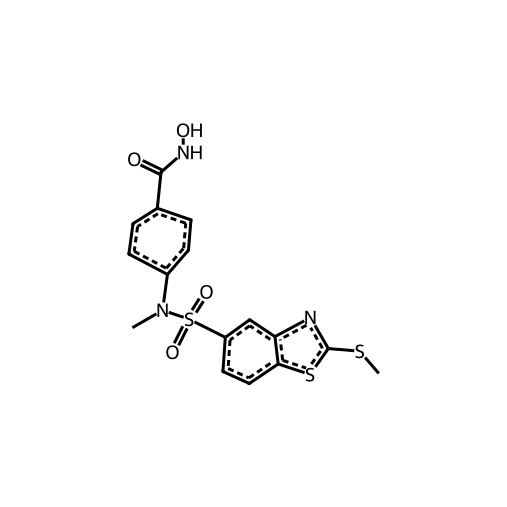 CSc1nc2cc(S(=O)(=O)N(C)c3ccc(C(=O)NO)cc3)ccc2s1